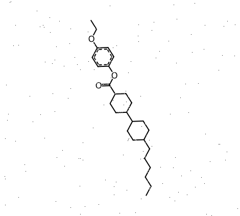 CCCCCCC1CCC(C2CCC(C(=O)Oc3ccc(OCC)cc3)CC2)CC1